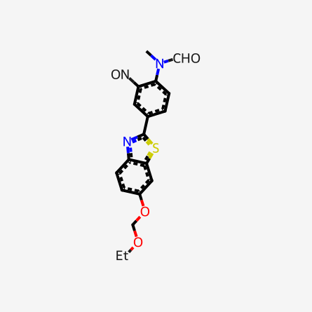 CCOCOc1ccc2nc(-c3ccc(N(C)C=O)c(N=O)c3)sc2c1